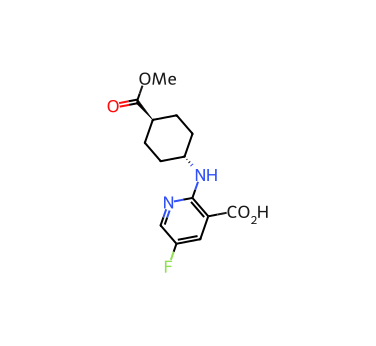 COC(=O)[C@H]1CC[C@H](Nc2ncc(F)cc2C(=O)O)CC1